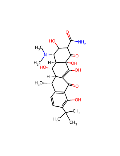 C[C@H]1c2ccc(C(C)(C)C)c(O)c2C(=O)C2=C(O)[C@]3(O)C(=O)C(C(N)=O)C(O)[C@@H](N(C)C)[C@@H]3[C@@H](O)[C@@H]21